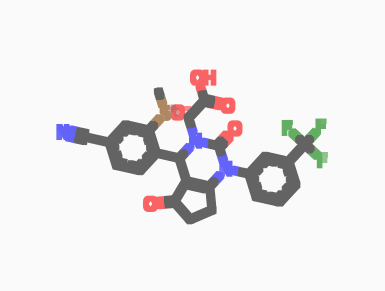 C[S+]([O-])c1cc(C#N)ccc1C1C2=C(CCC2=O)N(c2cccc(C(F)(F)F)c2)C(=O)N1CC(=O)O